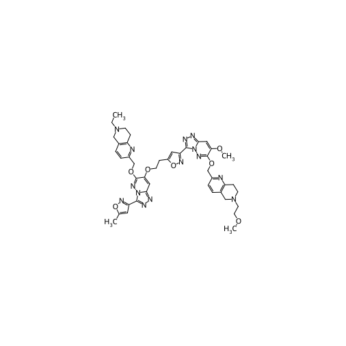 CCN1CCc2nc(COc3nn4c(-c5cc(C)on5)nnc4cc3OCCc3cc(-c4nnc5cc(OC)c(OCc6ccc7c(n6)CCN(CCOC)C7)nn45)no3)ccc2C1